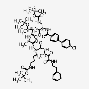 C[C@H](NC(=O)[C@@H](NC(=O)[C@H](CNC(=O)OC(C)(C)C)NC(=O)c1ccc(-c2ccc(Cl)cc2)cc1)[C@@H](C)OC(C)(C)C)C(=O)N[C@@H](CCCCNC(=O)OC(C)(C)C)C(=O)N[C@@H](C)C(=O)C(=O)NCCc1ccccc1